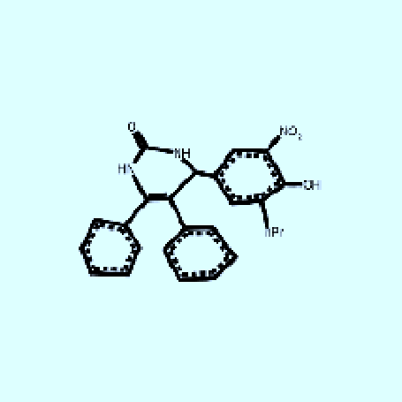 CCCc1cc(C2NC(=O)NC(c3ccccc3)=C2c2ccccc2)cc([N+](=O)[O-])c1O